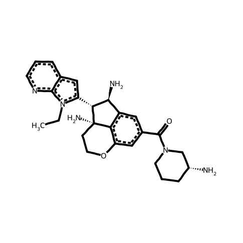 CCn1c([C@@H]2[C@@H](N)c3cc(C(=O)N4CCC[C@@H](N)C4)cc4c3[C@@]2(N)CCO4)cc2cccnc21